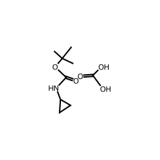 CC(C)(C)OC(=O)NC1CC1.O=C(O)O